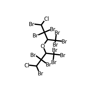 ClC(Br)C(Br)(Br)C(OC(C(Br)(Br)Br)C(Br)(Br)C(Cl)Br)C(Br)(Br)Br